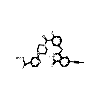 CC#Cc1ccc2c(=O)[nH]nc(Cc3ccc(F)c(C(=O)N4CCN(c5cc(C(=O)NC)ccn5)CC4)c3)c2c1